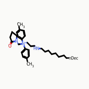 CCCCCCCCCCCCCCCCCCNCCC[N+](CN1CCCC1=O)(c1ccc(C)cc1)c1ccc(C)cc1